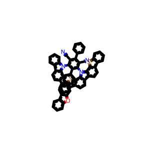 N#Cc1c(-c2ccccc2)c(C#N)c(-n2c3c(ccc4c5ccccc5sc43)c3ccc4c5ccccc5sc4c32)c(-c2ccccc2)c1-n1c2ccccc2c2ccc(-c3ccc4oc5ccccc5c4c3)cc21